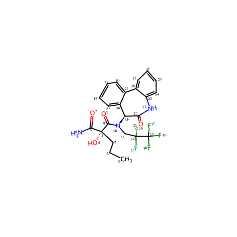 CCC[C@@](O)(C(N)=O)C(=O)N(CC(F)(F)C(F)(F)F)[C@@H]1C(=O)Nc2ccccc2-c2ccccc21